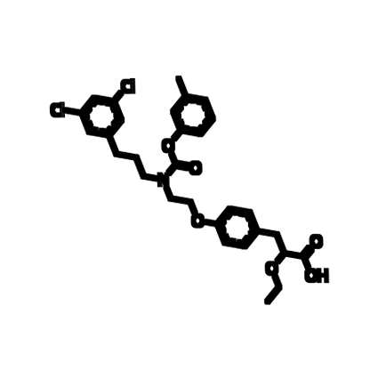 CCOC(Cc1ccc(OCCN(CCCc2cc(Cl)cc(Cl)c2)C(=O)Oc2cccc(C)c2)cc1)C(=O)O